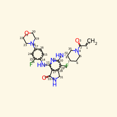 C=CC(=O)N1CCC[C@H](Nc2nc(Nc3ccc(N4CCOCC4)cc3F)c3c(c2F)CNC3=O)C1